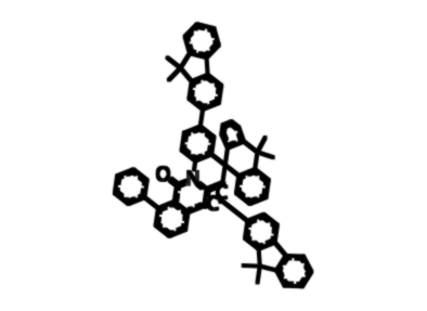 CC1(C)c2ccccc2-c2ccc(-c3ccc4c(c3)C3(c5ccccc5C(C)(C)c5ccccc53)c3cc(-c5ccc6c(c5)C(C)(C)c5ccccc5-6)cc5c6cccc(-c7ccccc7)c6c(=O)n-4c35)cc21